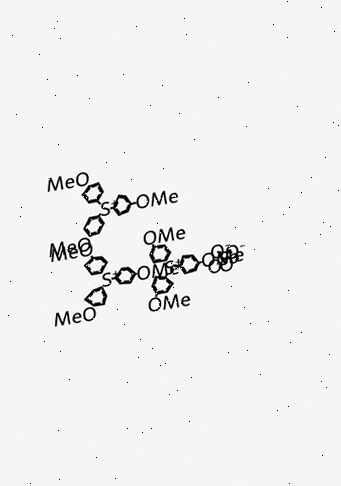 COc1ccc([S+](c2ccc(OC)cc2)c2ccc(OC)cc2)cc1.COc1ccc([S+](c2ccc(OC)cc2)c2ccc(OC)cc2)cc1.COc1ccc([S+](c2ccc(OC)cc2)c2ccc(OC)cc2)cc1.[O]=[Sb]([O-])([O-])[O-]